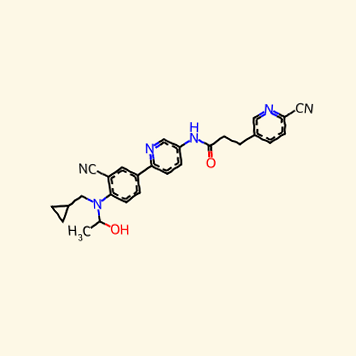 CC(O)N(CC1CC1)c1ccc(-c2ccc(NC(=O)CCc3ccc(C#N)nc3)cn2)cc1C#N